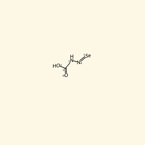 O=C(O)NN=[Se]